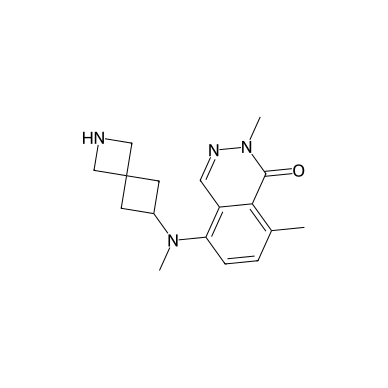 Cc1ccc(N(C)C2CC3(CNC3)C2)c2cnn(C)c(=O)c12